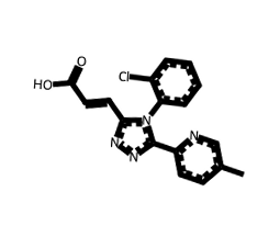 Cc1ccc(-c2nnc(/C=C/C(=O)O)n2-c2ccccc2Cl)nc1